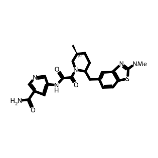 CNc1nc2cc(CC3CC[C@H](C)CN3C(=O)C(=O)Nc3cncc(C(N)=O)c3)ccc2s1